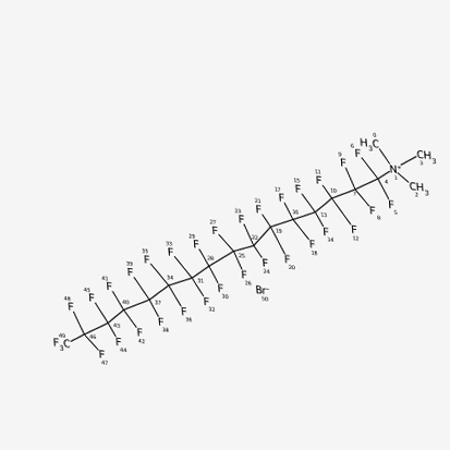 C[N+](C)(C)C(F)(F)C(F)(F)C(F)(F)C(F)(F)C(F)(F)C(F)(F)C(F)(F)C(F)(F)C(F)(F)C(F)(F)C(F)(F)C(F)(F)C(F)(F)C(F)(F)C(F)(F)C(F)(F)F.[Br-]